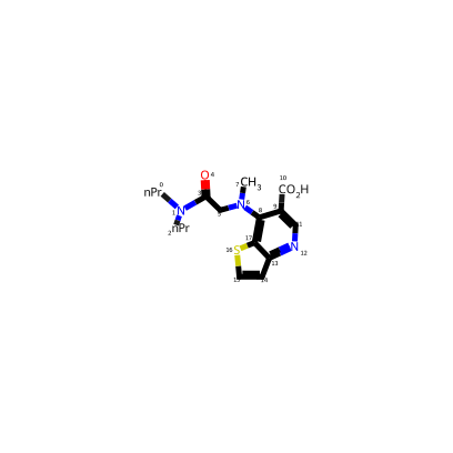 CCCN(CCC)C(=O)CN(C)c1c(C(=O)O)cnc2ccsc12